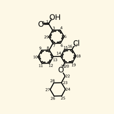 O=C(O)c1cccc(-c2ccccc2-c2cc(Cl)ccc2OCC2CCCCC2)c1